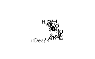 CCCCCCCCCCCCCCCC(=O)NCC1CCCN1C(=O)CCNC(=O)C1OC(C)(C)OCC1(C)C